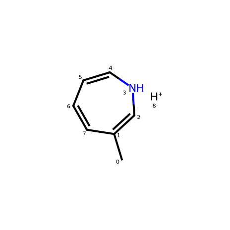 CC1=CNC=CC=C1.[H+]